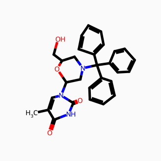 Cc1cn(C2CN(C(c3ccccc3)(c3ccccc3)c3ccccc3)CC(CO)O2)c(=O)[nH]c1=O